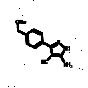 COCc1ccc(-c2n[nH]c(N)c2C#N)cc1